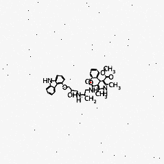 C=C(CNC(=O)C1=C(C)NC(C)=C(C(=O)OC)C1c1ccccc1Cl)NCC(O)COc1cccc2[nH]c3ccccc3c12